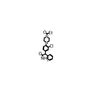 CCC(=O)N1CCN(c2ccc(C(C(N)=O)c3ccccc3)cc2Cl)CC1